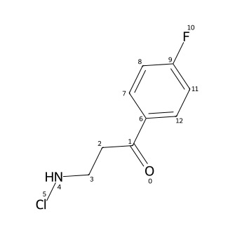 O=C(CCNCl)c1ccc(F)cc1